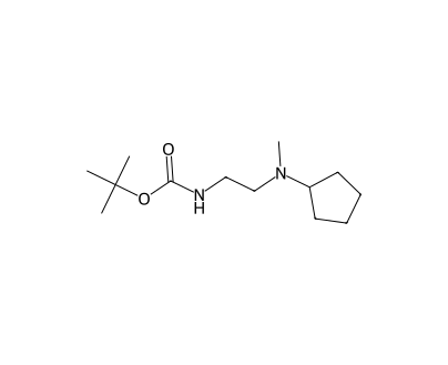 CN(CCNC(=O)OC(C)(C)C)C1CCCC1